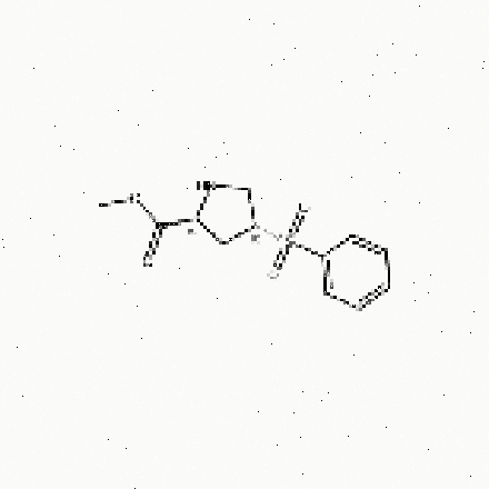 COC(=O)[C@@H]1C[C@@H](S(=O)(=O)c2ccccc2)CN1